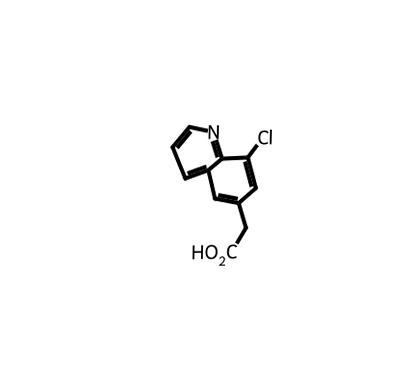 O=C(O)Cc1cc(Cl)c2ncccc2c1